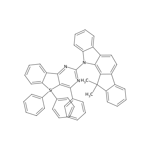 CC1(C)c2ccccc2-c2ccc3c4ccccc4n(-c4nc(-c5ccccc5)c5c(n4)-c4ccccc4[Si]5(c4ccccc4)c4ccccc4)c3c21